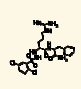 N=C(N)NCCC[C@H](NNS(=O)(=O)c1cc(Cl)ccc1Cl)C(=O)N[C@@H](Cc1ccccc1)C(N)=O